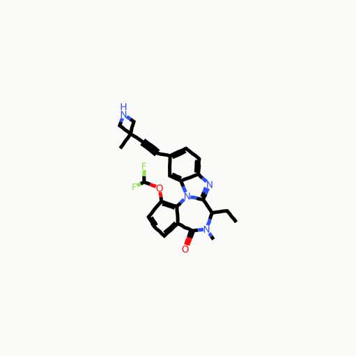 CCC1c2nc3ccc(C#CC4(C)CNC4)cc3n2-c2c(OC(F)F)cccc2C(=O)N1C